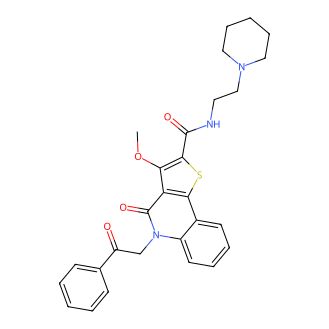 COc1c(C(=O)NCCN2CCCCC2)sc2c1c(=O)n(CC(=O)c1ccccc1)c1ccccc21